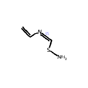 C=C/N=C\SN